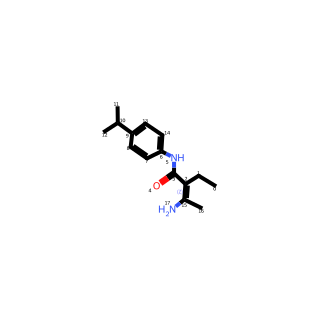 CC/C(C(=O)Nc1ccc(C(C)C)cc1)=C(\C)N